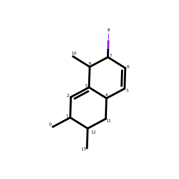 CC1C=C2C(C=CC(I)C2C)CC1C